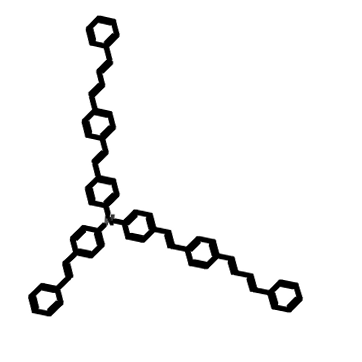 C(/C=C/c1ccc(/C=C/c2ccc(N(c3ccc(/C=C/c4ccccc4)cc3)c3ccc(/C=C/c4ccc(/C=C/C=C/c5ccccc5)cc4)cc3)cc2)cc1)=C\c1ccccc1